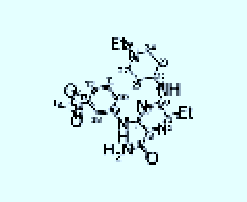 CCc1nc(C(N)=O)c(Nc2cccc(S(C)(=O)=O)c2)nc1NC1CCN(CC)CC1